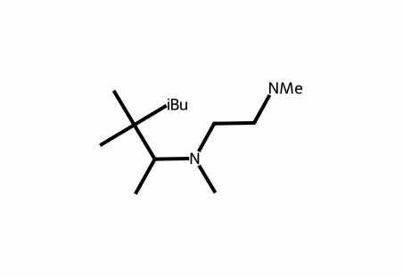 CCC(C)C(C)(C)C(C)N(C)CCNC